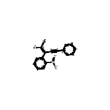 O=[N+]([O-])c1ccccc1C(C#Cc1ccccc1)=C(Br)Br